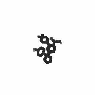 CCN1CCN(C2(c3ccc(C(N)=O)c(C4=CCC(C)(C)CC4)c3)CCCC2)CC1